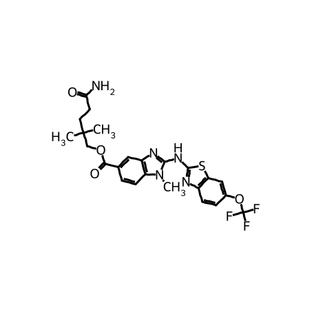 Cn1c(Nc2nc3ccc(OC(F)(F)F)cc3s2)nc2cc(C(=O)OCC(C)(C)CCC(N)=O)ccc21